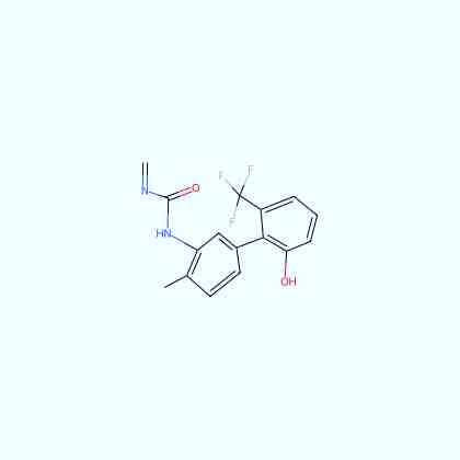 C=NC(=O)Nc1cc(-c2c(O)cccc2C(F)(F)F)ccc1C